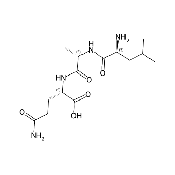 CC(C)C[C@H](N)C(=O)N[C@@H](C)C(=O)N[C@@H](CCC(N)=O)C(=O)O